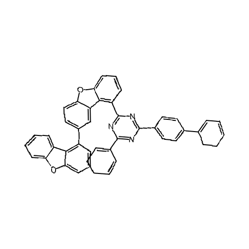 C1=CCCC(c2ccc(-c3nc(C4=CCCC=C4)nc(-c4cccc5oc6ccc(-c7cccc8oc9ccccc9c78)cc6c45)n3)cc2)=C1